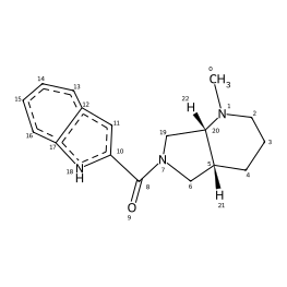 CN1CCC[C@@H]2CN(C(=O)c3cc4ccccc4[nH]3)C[C@@H]21